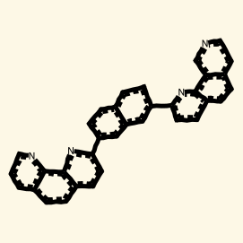 c1cnc2c(c1)ccc1ccc(-c3ccc4ccc(-c5ccc6ccc7ccncc7c6n5)cc4c3)nc12